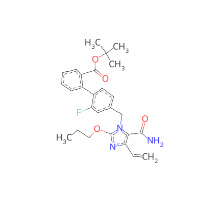 C=Cc1nc(OCCC)n(Cc2ccc(-c3ccccc3C(=O)OC(C)(C)C)c(F)c2)c1C(N)=O